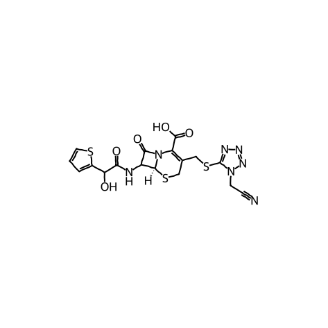 N#CCn1nnnc1SCC1=C(C(=O)O)N2C(=O)C(NC(=O)C(O)c3cccs3)[C@@H]2SC1